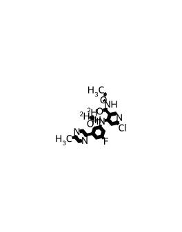 [2H]C([2H])([2H])Oc1c(Nc2cc(Cl)ncc2C(=O)NOCC)cc(F)cc1-c1cnc(C)cn1